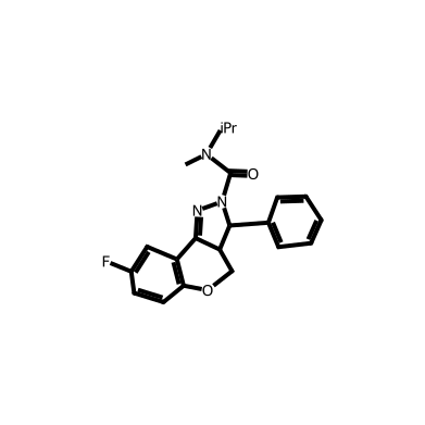 CC(C)N(C)C(=O)N1N=C2c3cc(F)ccc3OCC2C1c1ccccc1